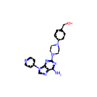 Nc1nc(N2CCN(c3ccc(CO)cc3)CC2)nc2c1ncn2-c1ccncc1